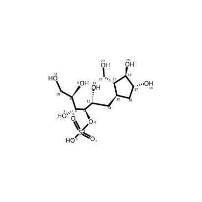 O=S(=O)(O)O[C@@H]([C@H](O)[C@H](O)CO)[C@H](O)C[C@@H]1C[C@@H](O)[C@H](O)[C@H]1CO